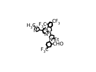 CC[C@@H]1C[C@H](N(Cc2cc(C(F)(F)F)cc(C(F)(F)F)c2)c2ncc(C3C=NN(C)C3)cn2)CN1c1ccc(C(F)(F)F)cc1C=O